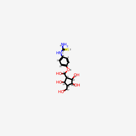 NC(=S)Nc1ccc(OC(O)C2C(O)C(O)C(CO)C2O)cc1